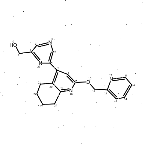 OCc1cncc(-c2cc(OCc3ccccn3)nc3c2CCCC3)n1